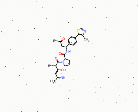 CC(=N)/C=C(\O)C(C(=O)N1CCCC1C(=O)N[C@@H](CC(=O)C(C)C)c1ccc(-c2scnc2C)cc1)C(C)C